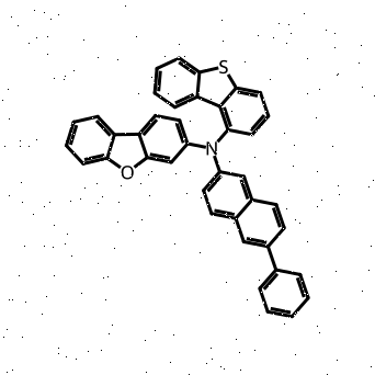 c1ccc(-c2ccc3cc(N(c4ccc5c(c4)oc4ccccc45)c4cccc5sc6ccccc6c45)ccc3c2)cc1